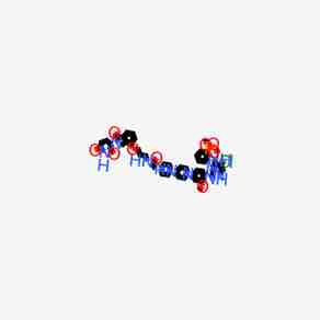 COc1cc(N2CCC(N3CCN(CC(=O)NCCCOc4cccc5c4CN(C4CCC(=O)NC4=O)C5=O)CC3)CC2)ccc1Nc1ncc(Cl)c(Nc2ccccc2P(=O)(OC)OC)n1